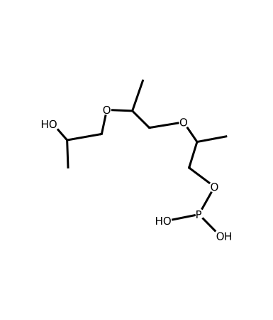 CC(O)COC(C)COC(C)COP(O)O